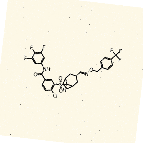 C[C@H]1CC2C[C@H](/C=N/OCc3ccc(C(F)(F)F)cc3)CC1[C@@H]2S(=O)(=O)c1cc(C(=O)Nc2cc(F)c(F)c(F)c2)ccc1Cl